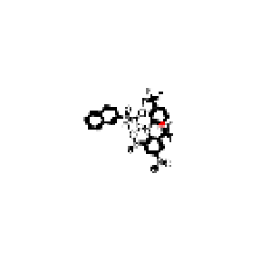 CN(SN(c1cc(C(F)(F)F)ccc1Cl)c1c([N+](=O)[O-])cc([N+](=O)[O-])cc1C(F)(F)F)S(=O)(=O)c1ccc2ccccc2c1